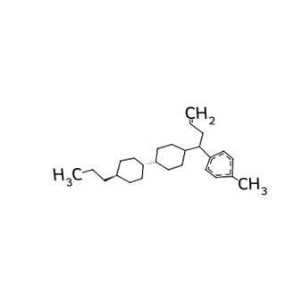 C=CCC(c1ccc(C)cc1)C1CCC([C@H]2CC[C@H](CCC)CC2)CC1